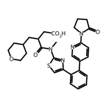 CN(C(=O)C(CC(=O)O)CC1CCOCC1)c1nc(-c2ccccc2-c2ccc(N3CCCC3=O)nc2)cs1